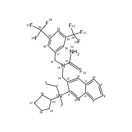 CC[N+](C)(c1nc2ccccc2cc1CN(Cc1cc(C(F)(F)F)cc(C(F)(F)F)c1)C(N)=S)C1CCCC1